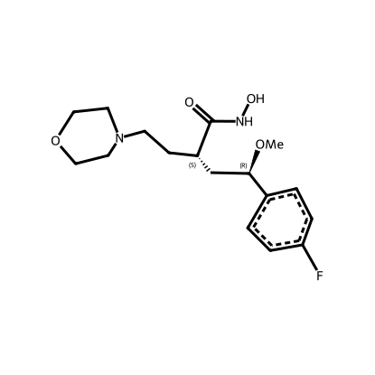 CO[C@H](C[C@H](CCN1CCOCC1)C(=O)NO)c1ccc(F)cc1